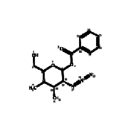 CC1C(CO)OC(OC(=O)c2ccccc2)[C@@H](N=[N+]=[N-])[C@H]1C